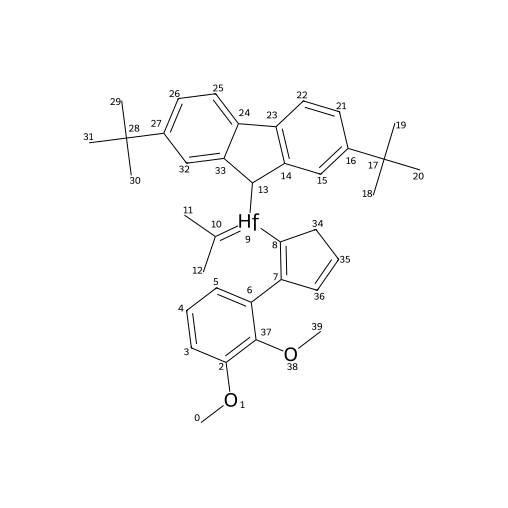 COc1cccc(C2=[C]([Hf](=[C](C)C)[CH]3c4cc(C(C)(C)C)ccc4-c4ccc(C(C)(C)C)cc43)CC=C2)c1OC